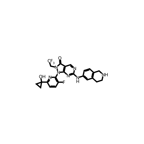 O=c1c2cnc(Nc3ccc4c(c3)CCNC4)nc2n(-c2nc(C3(O)CC3)ccc2F)n1CC(F)(F)F